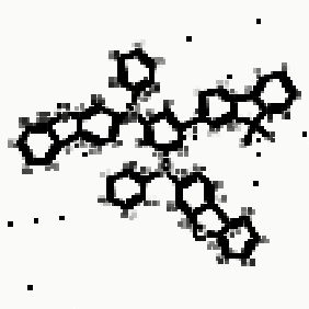 CC1(C)c2ccccc2-c2ccc(-c3cc(N(c4ccccc4)c4ccc5c(c4)oc4ccccc45)cc(N(c4ccccc4)c4ccc5c(c4)oc4ccccc45)c3)cc21